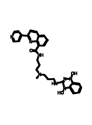 CN(CCCNC(=O)c1cccc2ccc(-c3ccncc3)nc12)CCCNC1=NN(O)c2ccccc2N1O